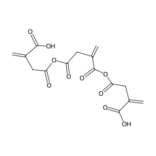 C=C(CC(=O)OC(=O)CC(=C)C(=O)OC(=O)CC(=C)C(=O)O)C(=O)O